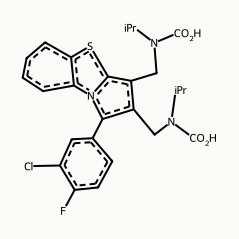 CC(C)N(Cc1c(CN(C(=O)O)C(C)C)c2sc3ccccc3n2c1-c1ccc(F)c(Cl)c1)C(=O)O